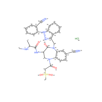 CNC(C)C(=O)NC1CN(C(=O)CS(C)(=O)=O)c2ccc(C#N)cc2N(Cc2nn(-c3ccccc3C#N)c3ccccc23)C1=O.Cl